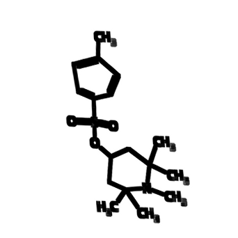 Cc1ccc(S(=O)(=O)OC2CC(C)(C)N(C)C(C)(C)C2)cc1